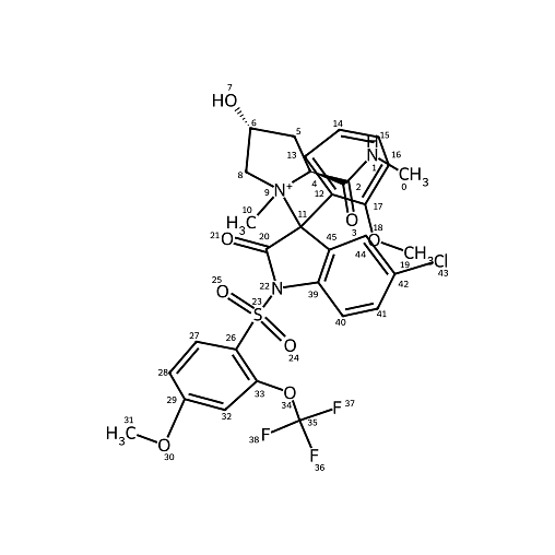 CNC(=O)[C@@H]1C[C@@H](O)C[N+]1(C)C1(c2ccccc2OC)C(=O)N(S(=O)(=O)c2ccc(OC)cc2OC(F)(F)F)c2ccc(Cl)cc21